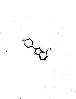 Cc1cccc2sc(C3CCNCC3)cc12